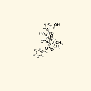 CC1(C)S[C@@H]2[C@H]([C@H](O)C(=O)N3CCCC3CO)C(=O)N2[C@H]1C(=O)OCc1ccccc1